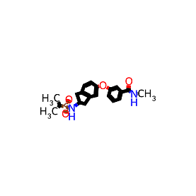 CNC(=O)c1cccc(Oc2ccc3c(c2)CC(NS(=O)(=O)C(C)C)C3)c1